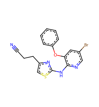 N#CCCc1csc(Nc2ncc(Br)cc2Oc2ccccc2)n1